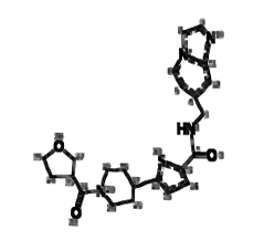 O=C(NCc1ccn2ccnc2c1)c1ccc(C2CCN(C(=O)C3CCOC3)CC2)s1